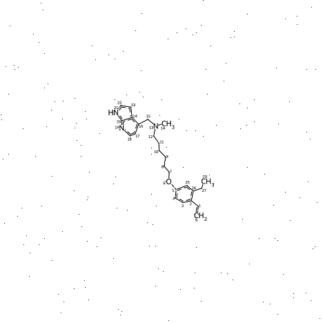 C=Cc1ccc(OCCCCCCN(C)Cc2ccnc3[nH]ccc23)cc1CC